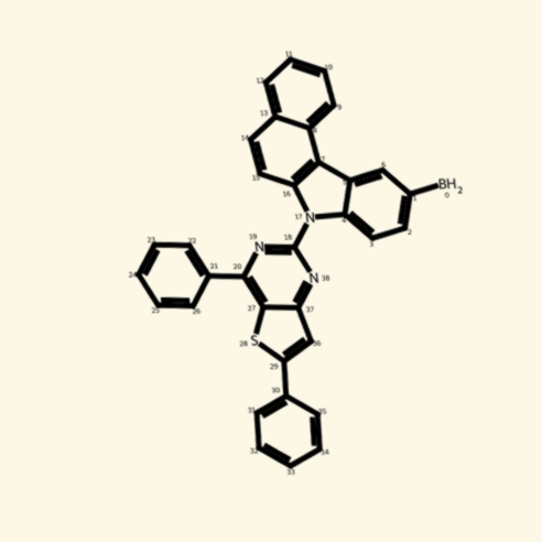 Bc1ccc2c(c1)c1c3ccccc3ccc1n2-c1nc(-c2ccccc2)c2sc(-c3ccccc3)cc2n1